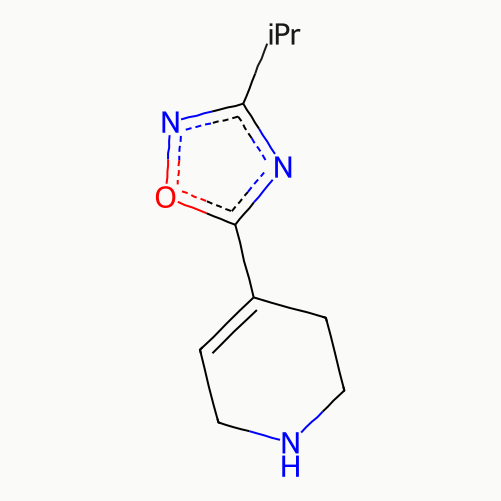 CC(C)c1noc(C2=CCNCC2)n1